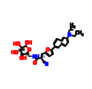 CCN(CC)c1ccc2cc(-c3ccc(/C=C(\C#N)C(=O)NC[C@H]4OC(O)[C@H](O)[C@@H](O)[C@@H]4O)o3)ccc2c1